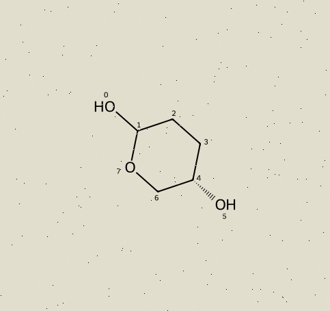 OC1CC[C@H](O)CO1